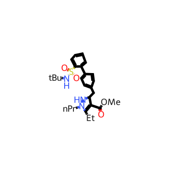 CCCN1NC(Cc2ccc(-c3ccccc3S(=O)(=O)NC(C)(C)C)cc2)C(C(=O)OC)=C1CC